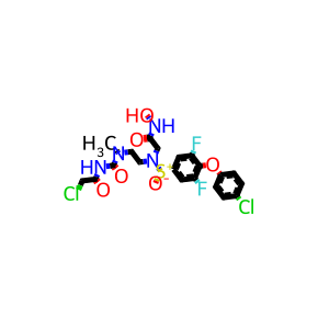 CN(CCN(CC(=O)NO)[S+]([O-])c1cc(F)c(Oc2ccc(Cl)cc2)c(F)c1)C(=O)NC(=O)CCl